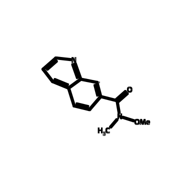 CON(C)C(=O)c1[c]c2ncccc2cc1